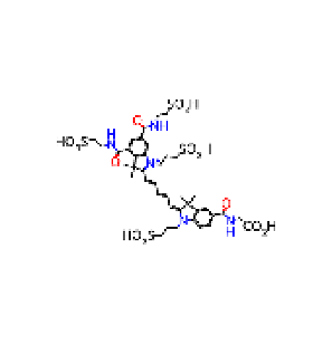 CC1(C)C(/C=C/C=C/C=C2/N(CCCS(=O)(=O)O)c3ccc(C(=O)NCC(=O)O)cc3C2(C)C)=[N+](CCCS(=O)(=O)O)c2cc(C(=O)NCCS(=O)(=O)O)cc(C(=O)NCCS(=O)(=O)O)c21